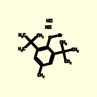 Cc1cc(C(C)(C)C)c([O][Zr])c(C(C)(C)C)c1.Cl.Cl